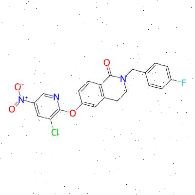 O=C1c2ccc(Oc3ncc([N+](=O)[O-])cc3Cl)cc2CCN1Cc1ccc(F)cc1